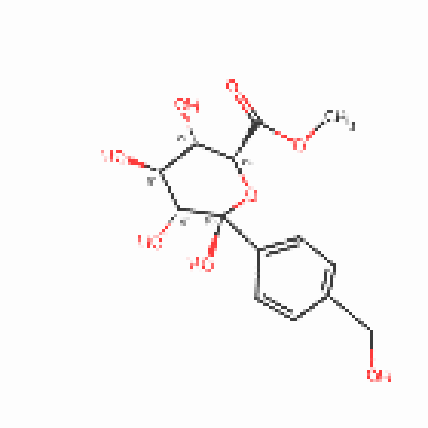 COC(=O)[C@H]1O[C@](O)(c2ccc(CO)cc2)[C@H](O)[C@@H](O)[C@@H]1O